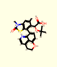 Cc1cc2c(sc(=O)n2C)c(-c2ccc3c4c(ccnc24)CCO3)c1[C@H](OC(C)(C)C)C(=O)O